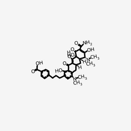 CN(C)c1cc(CCCc2ccc(C(=O)O)cc2)c(O)c2c1C[C@H]1C[C@H]3[C@@H](N(C)C)C(O)=C(C(N)=O)C(=O)[C@@]3(O)C(O)=C1C2=O